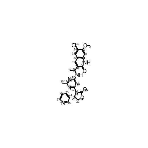 COc1cc2[nH]c(=O)c([C@H](C)Nc3nc(C)nc(N4C(=O)OC[C@@H]4c4cccnc4)n3)cc2cc1Cl